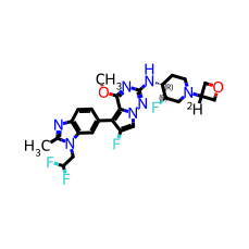 [2H]C1(N2CC[C@@H](Nc3nc(OC)c4c(-c5ccc6nc(C)n(CC(F)F)c6c5)c(F)cn4n3)[C@H](F)C2)COC1